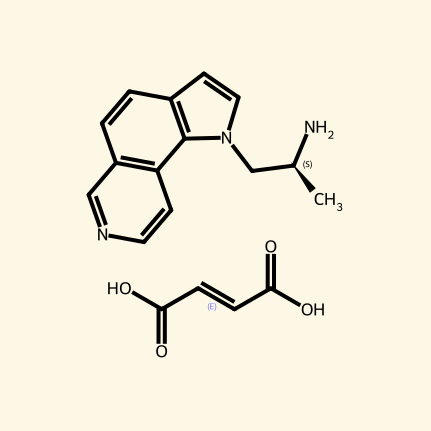 C[C@H](N)Cn1ccc2ccc3cnccc3c21.O=C(O)/C=C/C(=O)O